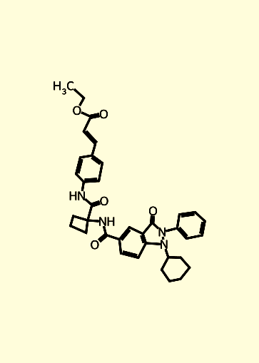 CCOC(=O)/C=C/c1ccc(NC(=O)C2(NC(=O)c3ccc4c(c3)c(=O)n(-c3ccccc3)n4C3CCCCC3)CCC2)cc1